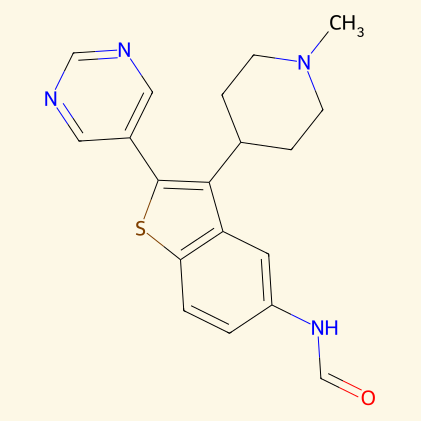 CN1CCC(c2c(-c3cncnc3)sc3ccc(NC=O)cc23)CC1